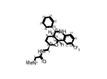 CNCC(=O)NC[C@H]1CC[C@@H]2[C@H](O1)c1cc(C(F)(F)F)ccc1N[C@H]2C1C=CC=CC1